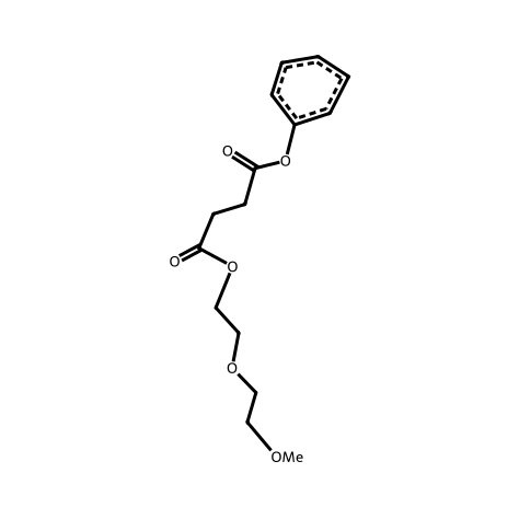 COCCOCCOC(=O)CCC(=O)Oc1ccccc1